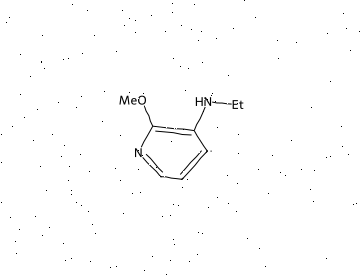 CCNc1[c]ccnc1OC